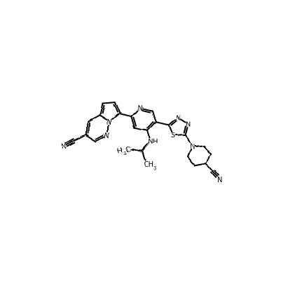 CC(C)Nc1cc(-c2ccc3cc(C#N)cnn23)ncc1-c1nnc(N2CCC(C#N)CC2)s1